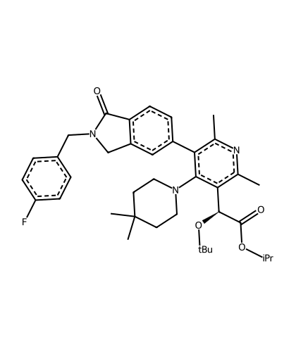 Cc1nc(C)c([C@H](OC(C)(C)C)C(=O)OC(C)C)c(N2CCC(C)(C)CC2)c1-c1ccc2c(c1)CN(Cc1ccc(F)cc1)C2=O